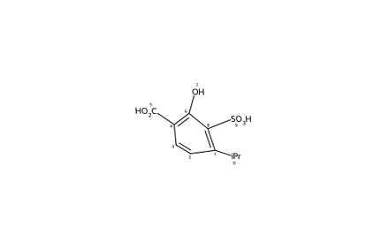 CC(C)c1ccc(C(=O)O)c(O)c1S(=O)(=O)O